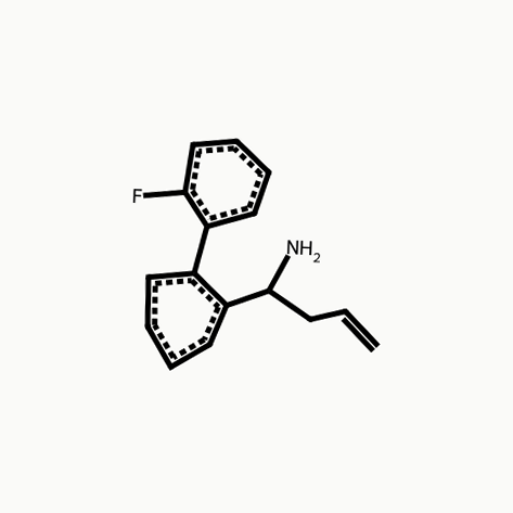 C=CCC(N)c1ccccc1-c1ccccc1F